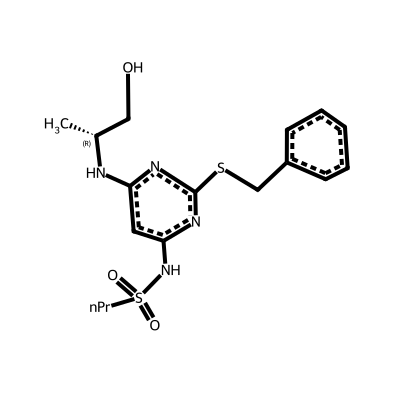 CCCS(=O)(=O)Nc1cc(N[C@H](C)CO)nc(SCc2ccccc2)n1